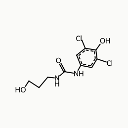 O=C(NCCCO)Nc1cc(Cl)c(O)c(Cl)c1